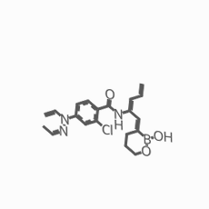 C=C/C=C(\C=C1/CCCOB1O)NC(=O)c1ccc(N(C=C)/N=C\C)cc1Cl